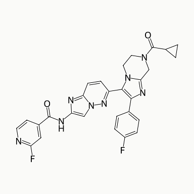 O=C(Nc1cn2nc(-c3c(-c4ccc(F)cc4)nc4n3CCN(C(=O)C3CC3)C4)ccc2n1)c1ccnc(F)c1